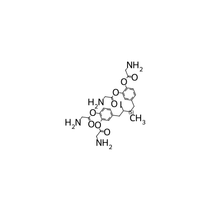 C[C@@H](Cc1ccc(OC(=O)CN)c(OC(=O)CN)c1)C(I)Cc1ccc(OC(=O)CN)c(OC(=O)CN)c1